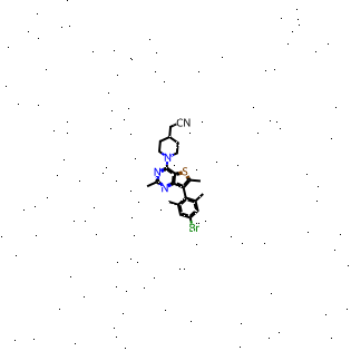 Cc1nc(N2CCC(CC#N)CC2)c2sc(C)c(-c3c(C)cc(Br)cc3C)c2n1